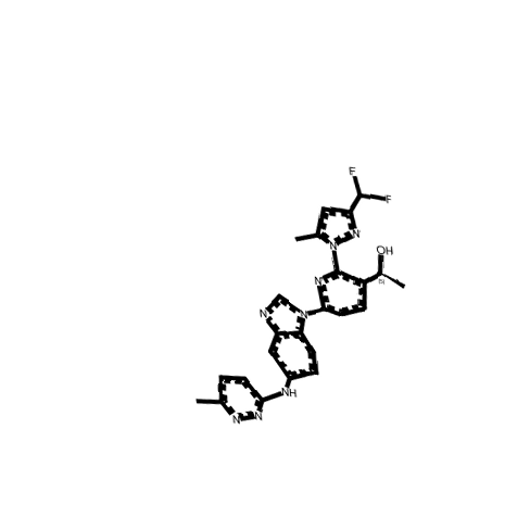 Cc1ccc(Nc2ccc3c(c2)ncn3-c2ccc([C@H](C)O)c(-n3nc(C(F)F)cc3C)n2)nn1